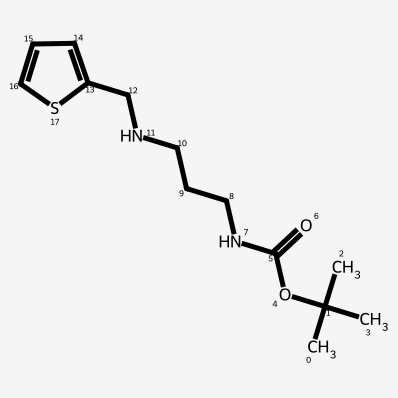 CC(C)(C)OC(=O)NCCCNCc1cccs1